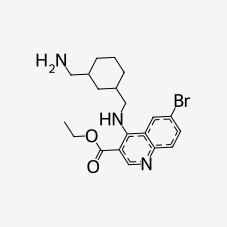 CCOC(=O)c1cnc2ccc(Br)cc2c1NCC1CCCC(CN)C1